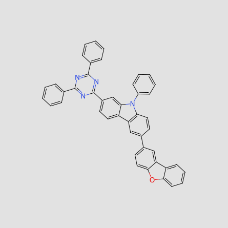 c1ccc(-c2nc(-c3ccccc3)nc(-c3ccc4c5cc(-c6ccc7oc8ccccc8c7c6)ccc5n(-c5ccccc5)c4c3)n2)cc1